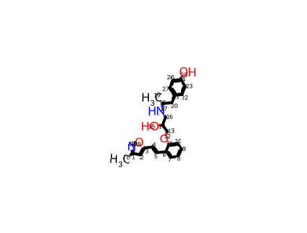 Cc1cc(C=Cc2ccccc2OCC(O)CNC(C)Cc2ccc(O)cc2)on1